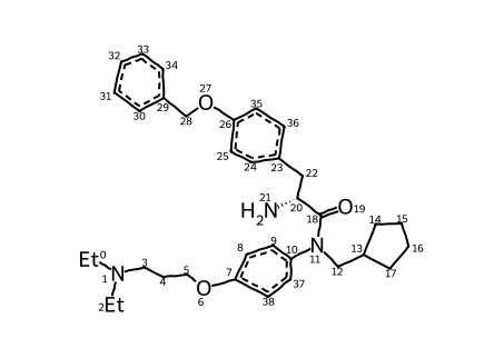 CCN(CC)CCCOc1ccc(N(CC2CCCC2)C(=O)[C@H](N)Cc2ccc(OCc3ccccc3)cc2)cc1